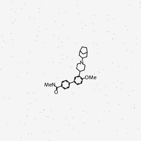 CNC(=O)c1ccc(-c2ccc(OC)c(C3CCN(C4CC5CCC(C5)C4)CC3)c2)cc1